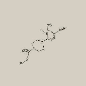 CNc1ccc(C2CCN(C(=O)OC(C)(C)C)CC2)c(F)c1N